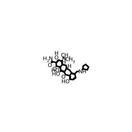 CN(C)C1C(O)=C(C(N)=O)C(=O)[C@@]2(O)C(O)=C3C(=O)c4c(O)ccc(CNC5CCCC5)c4C[C@@H]3C[C@@H]12